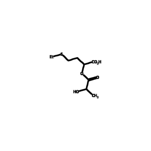 CCSCCC(OC(=O)C(C)O)C(=O)O